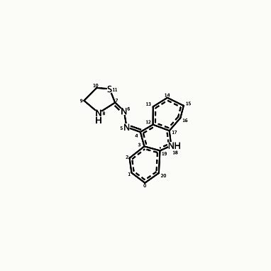 c1ccc2c(=NN=C3NCCS3)c3ccccc3[nH]c2c1